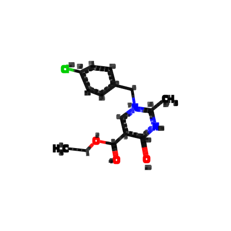 CCOC(=O)c1cn(Cc2ccc(Cl)cc2)c(C)nc1=O